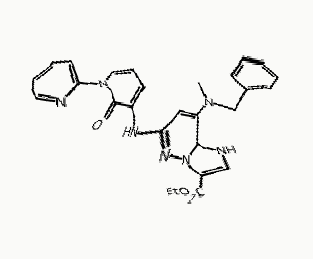 CCOC(=O)C1=CNC2C(N(C)Cc3ccccc3)=CC(Nc3cccn(-c4ccccn4)c3=O)=NN12